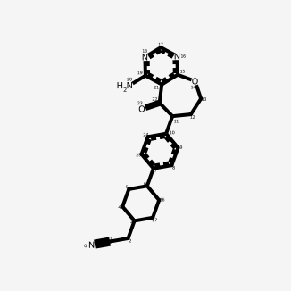 N#CCC1CCC(c2ccc(C3CCOc4ncnc(N)c4C3=O)cc2)CC1